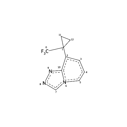 FC(F)(F)C1(c2cccn3cnnc23)CC1